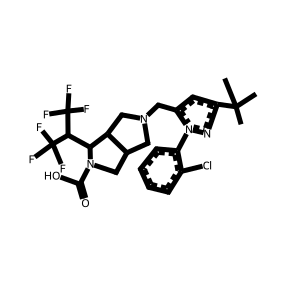 CC(C)(C)c1cc(CN2CC3CN(C(=O)O)C(C(C(F)(F)F)C(F)(F)F)C3C2)n(-c2ccccc2Cl)n1